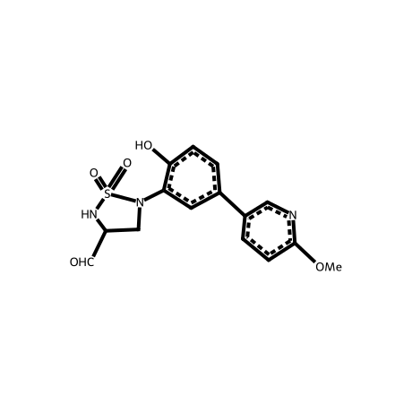 COc1ccc(-c2ccc(O)c(N3CC(C=O)NS3(=O)=O)c2)cn1